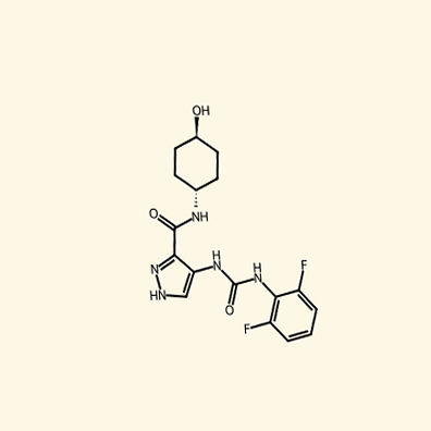 O=C(Nc1c[nH]nc1C(=O)N[C@H]1CC[C@H](O)CC1)Nc1c(F)cccc1F